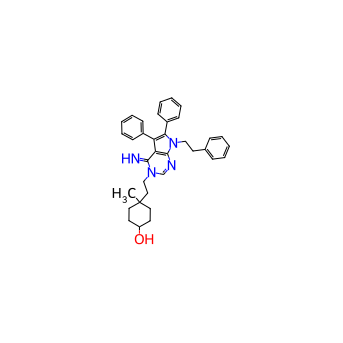 CC1(CCn2cnc3c(c(-c4ccccc4)c(-c4ccccc4)n3CCc3ccccc3)c2=N)CCC(O)CC1